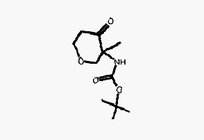 CC(C)(C)OC(=O)NC1(C)COCCC1=O